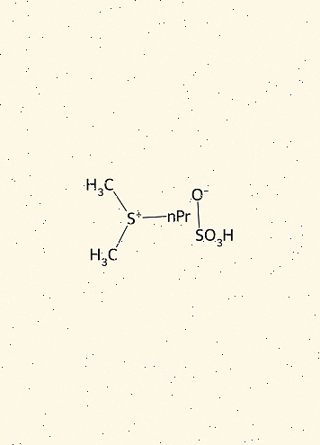 CCC[S+](C)C.O=S(=O)([O-])O